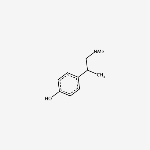 CNCC(C)c1ccc(O)cc1